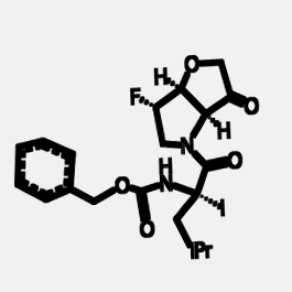 CC(C)C[C@@](I)(NC(=O)OCc1ccccc1)C(=O)N1C[C@H](F)[C@H]2OCC(=O)[C@H]21